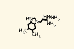 CC1CC2NCN(C/C=C(\N)NN)C2CC1C